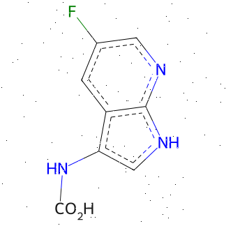 O=C(O)Nc1c[nH]c2ncc(F)cc12